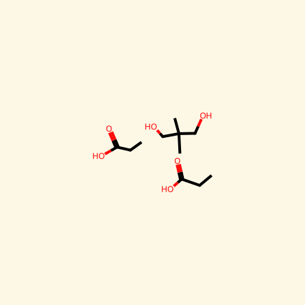 CC(C)(CO)CO.CCC(=O)O.CCC(=O)O